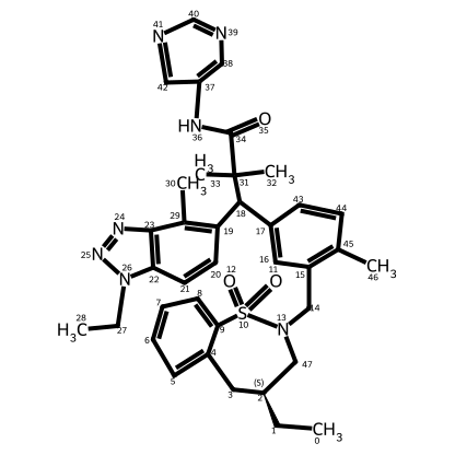 CC[C@H]1Cc2ccccc2S(=O)(=O)N(Cc2cc(C(c3ccc4c(nnn4CC)c3C)C(C)(C)C(=O)Nc3cncnc3)ccc2C)C1